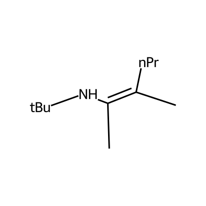 CCC/C(C)=C(/C)NC(C)(C)C